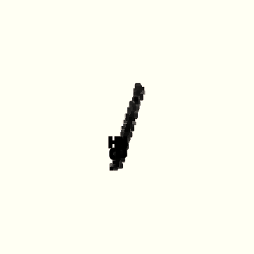 CCCCCCCCCCCCCCCCCCNCCOC(=O)CCCC